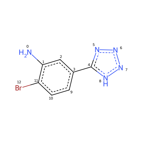 Nc1cc(-c2nnn[nH]2)ccc1Br